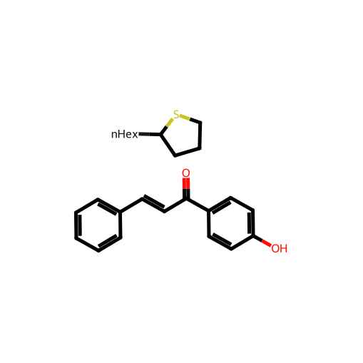 CCCCCCC1CCCS1.O=C(C=Cc1ccccc1)c1ccc(O)cc1